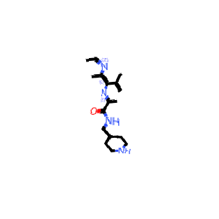 C=C(C)C(/N=C(\C)C(=O)NCC1CCNCC1)=C(C)\N=C/C